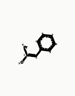 CC(C)/[N+]([O-])=C\c1ccccc1